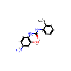 COc1ccccc1NC(=O)Nc1ccc(N)cc1O